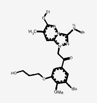 CCOc1nn2c(NC(C)C)n[n+](CC(=O)c3cc(OCCCO)c(OC)c(C(C)(C)C)c3)c2cc1C